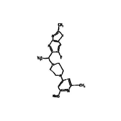 COc1cc(N2CCN(C(C)c3nc4nc(C)sc4cc3F)CC2)cc(C)n1